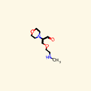 CNCCOCC(C=O)N1CCOCC1